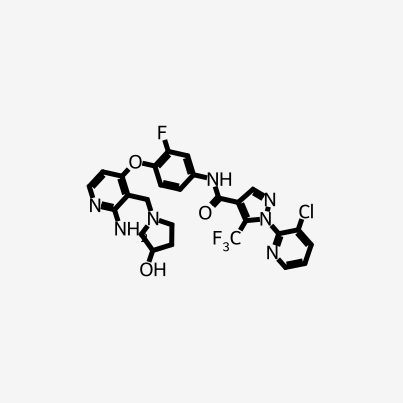 Nc1nccc(Oc2ccc(NC(=O)c3cnn(-c4ncccc4Cl)c3C(F)(F)F)cc2F)c1CN1CCC(O)C1